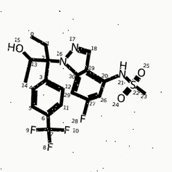 CCC(c1ccc(C(F)(F)F)cc1)(C(C)O)n1ncc2c(NS(C)(=O)=O)cc(F)cc21